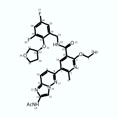 [2H]COc1nc(C)c(-c2ccc3nc(NC(C)=O)cn3n2)cc1C(=O)NCc1cc(F)cc(F)c1O[C@H]1CCOC1